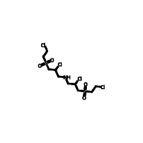 O=S(=O)(CCCl)CC(Cl)CNCC(Cl)CS(=O)(=O)CCCl